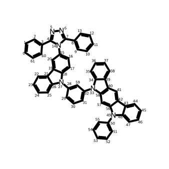 c1ccc(-c2nnc(-c3ccccc3)n2-c2ccc3c(c2)c2ccccc2n3-c2cccc(-n3c4ccccc4c4cc5c6ccccc6n(-c6ccccc6)c5cc43)c2)cc1